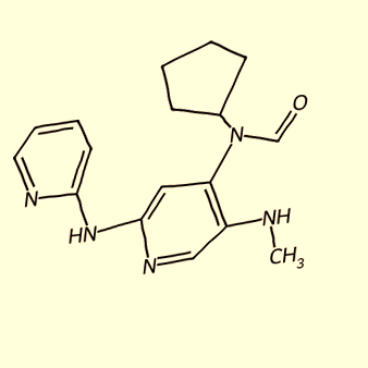 CNc1cnc(Nc2ccccn2)cc1N(C=O)C1CCCC1